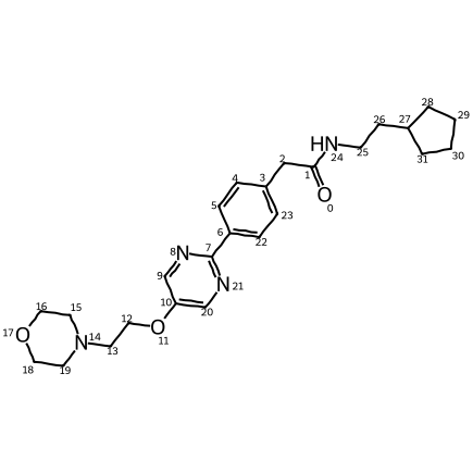 O=C(Cc1ccc(-c2ncc(OCCN3CCOCC3)cn2)cc1)NCCC1CCCC1